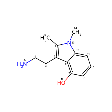 Cc1c(CCN)c2c(O)cccc2n1C